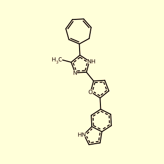 Cc1nc(-c2ccc(-c3ccc4cc[nH]c4c3)o2)[nH]c1C1=CC=CC=CC1